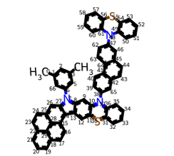 Cc1cc(C)cc(-n2c3cc4c(cc3c3c5ccc6cccc7ccc(cc32)c5c76)sc2ccccc2n4-c2ccc3c(ccc4cc(N5c6ccccc6Sc6ccccc65)ccc43)c2)c1